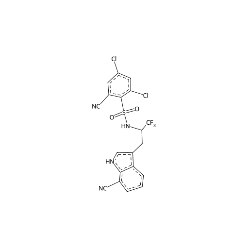 N#Cc1cc(Cl)cc(Cl)c1S(=O)(=O)NC(Cc1c[nH]c2c(C#N)cccc12)C(F)(F)F